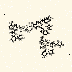 CC(C)c1cnn2c(NCc3ccccc3-n3cccn3)nc(CN(C)CCN3CCCC3)nc12.CC(C)c1cnn2c(NCc3ccccc3-n3cccn3)nc(CNCCN3CCCC3)nc12.CC(C)c1cnn2c(NCc3ccccc3-n3cccn3)nc(CNCCN3CCOCC3)nc12